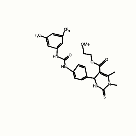 COCCOC(=O)C1=C(C)N(C)C(=S)NC1c1ccc(NC(=O)Nc2cc(C(F)(F)F)cc(C(F)(F)F)c2)cc1